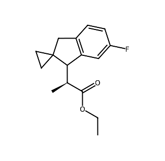 CCOC(=O)[C@@H](C)C1c2cc(F)ccc2CC12CC2